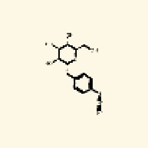 [N-]=[N+]=Nc1ccc(C[C@H]2O[C@H](CO)[C@@H](O)[C@H](O)[C@@H]2O)cc1